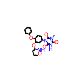 Cn1c(=O)[nH]c(=O)n(-c2ccc(Oc3ccccc3)c(OC3=CC=CON3)c2)c1=O